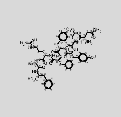 CC[C@H](C)[C@H](NC(=O)[C@H](CCCNC(=N)N)NC(=O)[C@H](Cc1ccccc1)NC(=O)[C@H](Cc1ccccc1)NC(=O)[C@H](Cc1ccc(O)cc1)NC(=O)[C@H](CCC(=O)O)NC(=O)[C@@H](N)CC(N)=O)C(=O)N[C@@H](Cc1ccccc1)C(=O)O